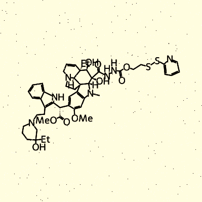 CCC1(O)CCCN(CCc2c([C@@H](C(=O)OC)c3cc4c(cc3OC)N(C)[C@H]3[C@@](O)(C(=O)NNC(=O)OCCSSc5ccccn5)[C@H](O)[C@]5(CC)C=CCN6CC[C@]43[C@@H]65)[nH]c3ccccc23)C1